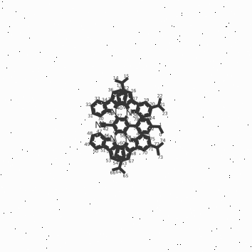 CCc1ccc(-c2c(-n3c4ccc(C(C)C)cc4c4cc(C(C)C)ccc43)c(-n3c4ccccc4c4ccccc43)c(C#N)c(-n3c4ccccc4c4ccccc43)c2-n2c3ccc(C(C)C)cc3c3cc(C(C)C)ccc32)cc1